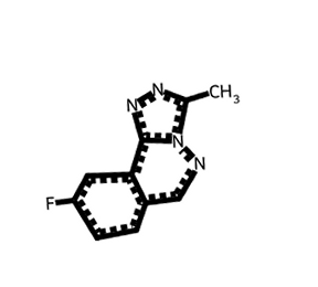 Cc1nnc2c3cc(F)ccc3cnn12